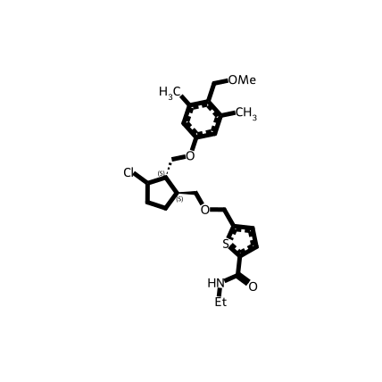 CCNC(=O)c1ccc(COC[C@H]2CCC(Cl)[C@@H]2COc2cc(C)c(COC)c(C)c2)s1